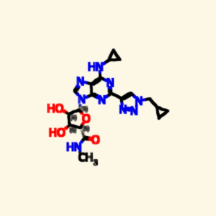 CNC(=O)[C@H]1O[C@@H](n2cnc3c(NC4CC4)nc(-c4cn(CC5CC5)nn4)nc32)[C@H](O)[C@@H]1O